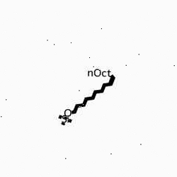 CCCCCCCC/C=C\CCCCCCCCO[Si](C)(C)C